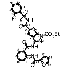 CCOC(=O)n1nc(NC(=O)c2ccccc2NC(=O)c2ccco2)c2cc(C(=O)NC(C)(C)c3ccccc3F)sc21